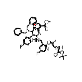 COC(=O)c1cnn2c(N(Cc3ccccc3)Cc3ccccc3)c(-c3ccc(F)cc3)c(NCc3cc(F)cnc3O[C@@H](C)CNC(=O)OC(C)(C)C)nc12